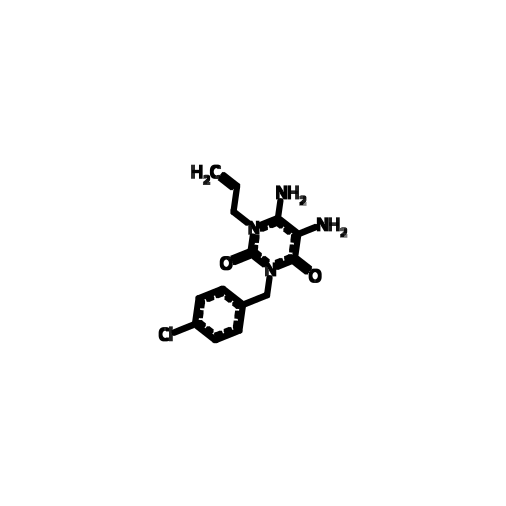 C=CCn1c(N)c(N)c(=O)n(Cc2ccc(Cl)cc2)c1=O